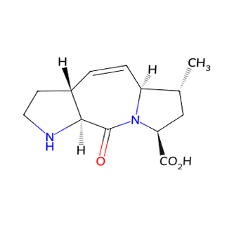 C[C@@H]1C[C@@H](C(=O)O)N2C(=O)[C@H]3NCC[C@@H]3C=C[C@@H]12